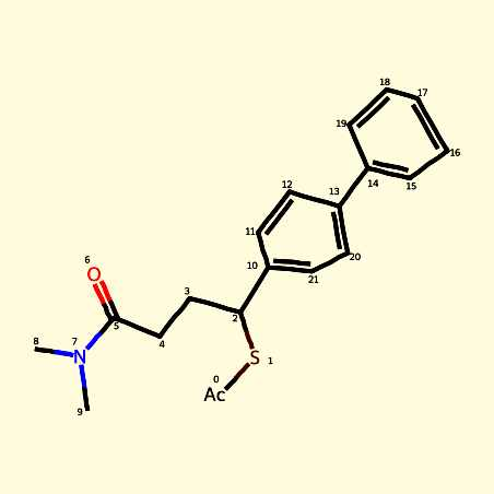 CC(=O)SC(CCC(=O)N(C)C)c1ccc(-c2ccccc2)cc1